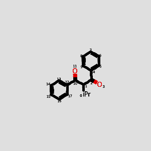 CC(C)C(C(=O)c1ccccc1)C(=O)c1ccccc1